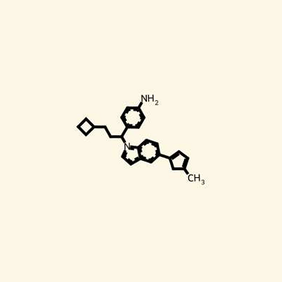 CC1=CC=C(c2ccc3c(ccn3C(CCC3CCC3)c3ccc(N)cc3)c2)C1